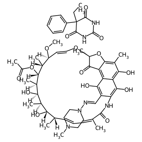 CCC1(c2ccccc2)C(=O)NC(=O)NC1=O.CO[C@H]1/C=C/O[C@@]2(C)Oc3c(C)c(O)c4c(O)c(c(/C=N/N5CCN(C)CC5)c(O)c4c3C2=O)NC(=O)/C(C)=C\C=C\[C@H](C)[C@H](O)[C@@H](C)[C@@H](O)[C@@H](C)[C@H](OC(C)=O)[C@@H]1C